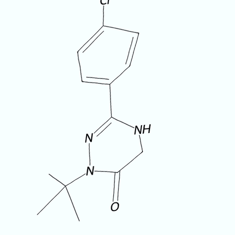 CC(C)(C)N1N=C(c2ccc(Cl)cc2)NCC1=O